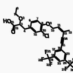 CCOC(Cc1ccc(OCC=C(C)C#Cc2cc(C(F)(F)F)cc(C(F)(F)F)c2)c(Cl)c1)C(=O)O